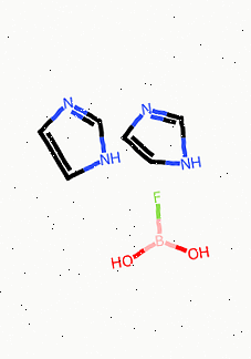 OB(O)F.c1c[nH]cn1.c1c[nH]cn1